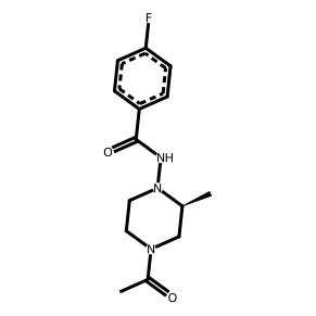 CC(=O)N1CCN(NC(=O)c2ccc(F)cc2)[C@@H](C)C1